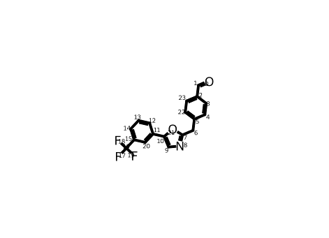 O=Cc1ccc(Cc2ncc(-c3cccc(C(F)(F)F)c3)o2)cc1